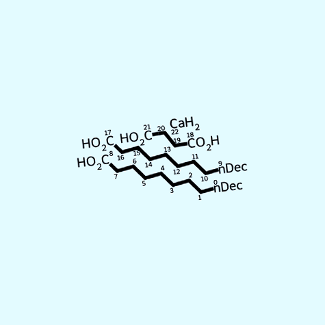 CCCCCCCCCCCCCCCCCC(=O)O.CCCCCCCCCCCCCCCCCC(=O)O.O=C(O)CCC(=O)O.[CaH2]